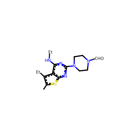 CCNc1nc(N2CCN(C=O)CC2)nc2sc(C)c(CC)c12